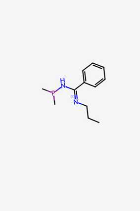 CCC/N=C(/NP(C)C)c1ccccc1